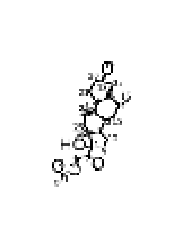 CC(=O)OCC(=O)[C@@]1(O)CCC2C3C[C@H](C)C4=CC(=O)CC[C@]4(C)C3=CC[C@@]21C